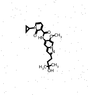 COc1cn2nc(CCC(C)(C)O)cc2cc1NC(=O)c1cccn(C2CC2)c1=O